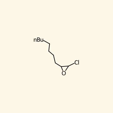 CCCCCCCCC1OC1Cl